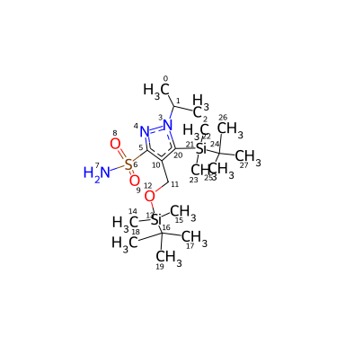 CC(C)n1nc(S(N)(=O)=O)c(CO[Si](C)(C)C(C)(C)C)c1[Si](C)(C)C(C)(C)C